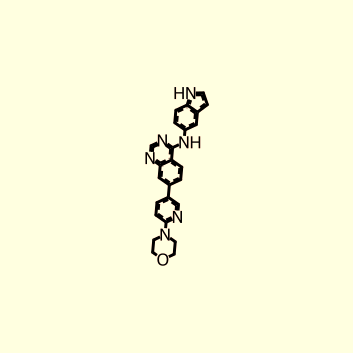 c1nc(Nc2ccc3[nH]ccc3c2)c2ccc(-c3ccc(N4CCOCC4)nc3)cc2n1